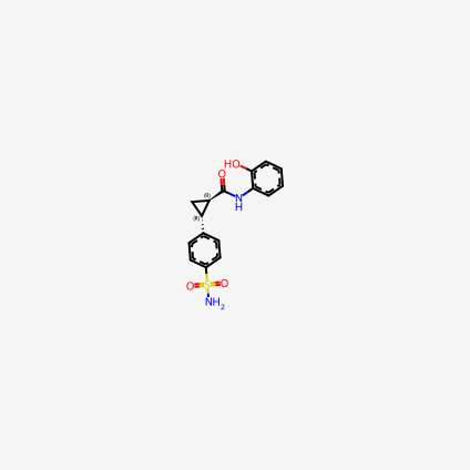 NS(=O)(=O)c1ccc([C@@H]2C[C@H]2C(=O)Nc2ccccc2O)cc1